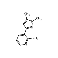 Cc1ncccc1-c1cc(C)n(C)n1